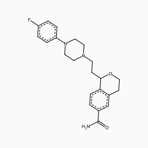 NC(=O)c1ccc2c(c1)CCOC2CCN1CCN(c2ccc(F)cc2)CC1